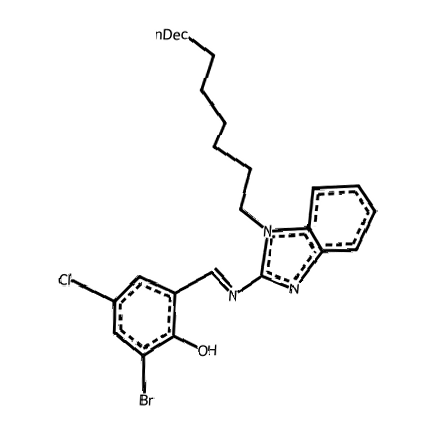 CCCCCCCCCCCCCCCCn1c(/N=C/c2cc(Cl)cc(Br)c2O)nc2ccccc21